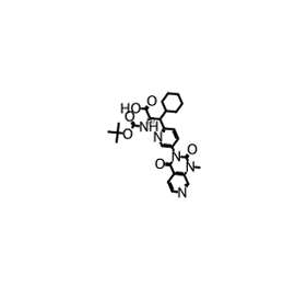 Cn1c(=O)n(-c2ccc(C(C3CCCCC3)[C@H](NC(=O)OC(C)(C)C)C(=O)O)nc2)c(=O)c2ccncc21